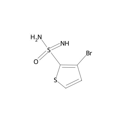 N=S(N)(=O)c1sccc1Br